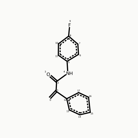 C=C(C(=O)Nc1ccc(F)cc1)c1ccccc1